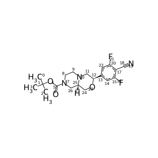 CC(C)(C)OC(=O)N1CCN2C[C@@H](c3cc(F)c(C#N)c(F)c3)OC[C@@H]2C1